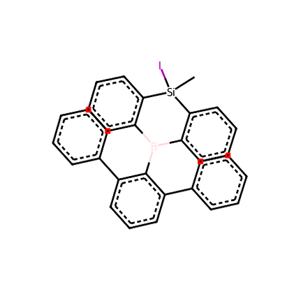 C[Si]1(I)c2ccccc2B(c2c(-c3ccccc3)cccc2-c2ccccc2)c2ccccc21